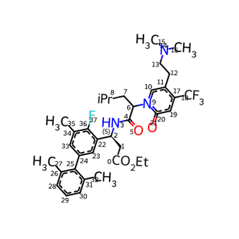 CCOC(=O)C[C@H](NC(=O)C(CC(C)C)n1cc(CCN(C)C)c(C(F)(F)F)cc1=O)c1cc(-c2c(C)cccc2C)cc(C)c1F